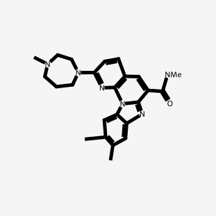 CNC(=O)c1cc2ccc(N3CCCN(C)CC3)nc2n2c1nc1cc(C)c(C)cc12